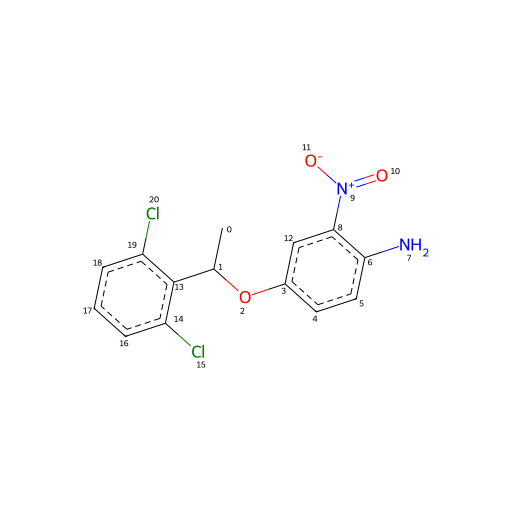 CC(Oc1ccc(N)c([N+](=O)[O-])c1)c1c(Cl)cccc1Cl